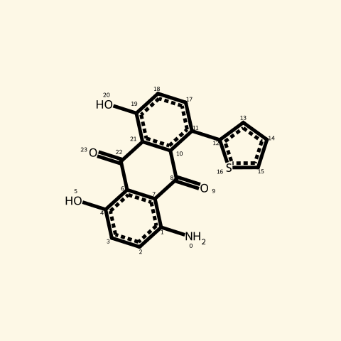 Nc1ccc(O)c2c1C(=O)c1c(-c3cccs3)ccc(O)c1C2=O